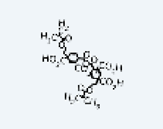 C=C(C)C(=O)OCCC1(C(=O)O)C=CC(C(=O)OC(=O)C2C=CC(CCOC(=O)C(=C)C)(C(=O)O)C=C2C(=O)O)C(C(=O)O)=C1